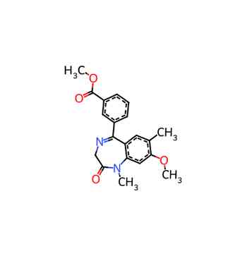 COC(=O)c1cccc(C2=NCC(=O)N(C)c3cc(OC)c(C)cc32)c1